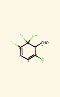 O=[C]C1C(Cl)=CC=C(F)C1(F)F